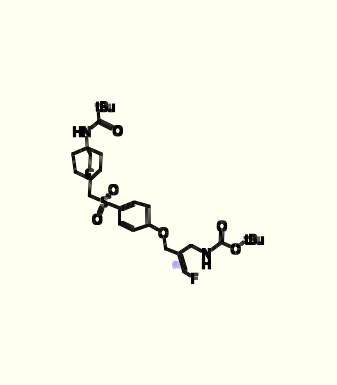 CC(C)(C)OC(=O)NC/C(=C\F)COc1ccc(S(=O)(=O)CC23CCC(NC(=O)C(C)(C)C)(CC2)CC3)cc1